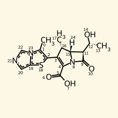 Cc1c(C2=C(C(=O)O)N3C(=O)[C@H]([C@@H](C)O)[C@H]3[C@H]2C)sc2cncn12